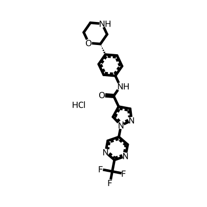 Cl.O=C(Nc1ccc([C@H]2CNCCO2)cc1)c1cnn(-c2cnc(C(F)(F)F)nc2)c1